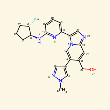 Cn1cc(-c2cn3c(-c4cccc(N[C@H]5CCC[C@@H]5F)n4)cnc3cc2CO)cn1